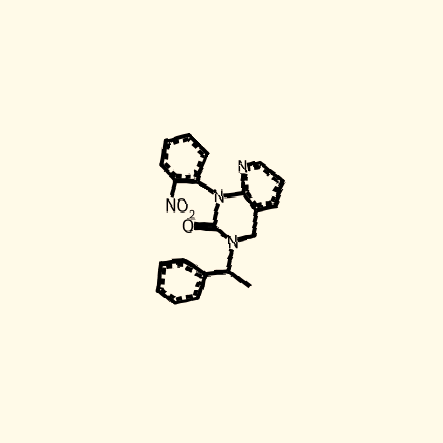 CC(c1ccccc1)N1Cc2cccnc2N(c2ccccc2[N+](=O)[O-])C1=O